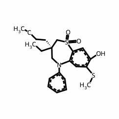 CCCC[C@@]1(CC)CN(c2ccccc2)c2cc(SC)c(O)cc2S(=O)(=O)C1